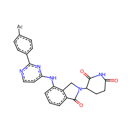 CC(=O)c1ccc(-c2nccc(Nc3cccc4c3CN(C3CCC(=O)NC3=O)C4=O)n2)cc1